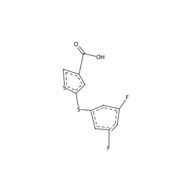 O=C(O)c1csc(Sc2cc(F)cc(F)c2)c1